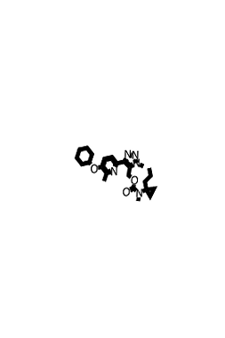 CCCC1(N(C)C(=O)OCc2c(-c3ccc(OC4CCCCC4)c(C)n3)nnn2C)CC1